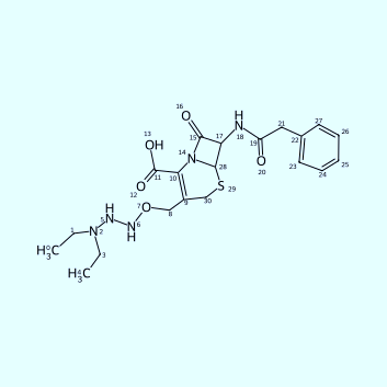 CCN(CC)NNOCC1=C(C(=O)O)N2C(=O)C(NC(=O)Cc3ccccc3)C2SC1